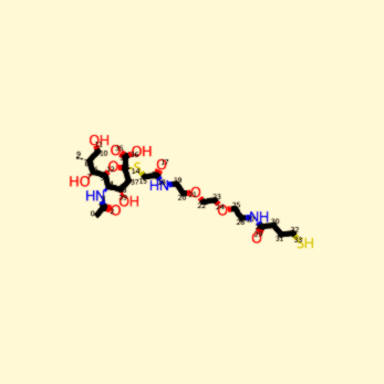 CC(=O)N[C@H]1C([C@H](O)[C@H](C)CO)O[C@@](SCC(=O)NCCOCCOCCNC(=O)CCCS)(C(=O)O)C[C@H]1O